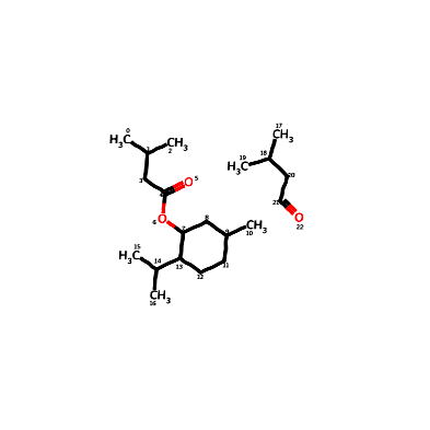 CC(C)CC(=O)OC1CC(C)CCC1C(C)C.CC(C)CC=O